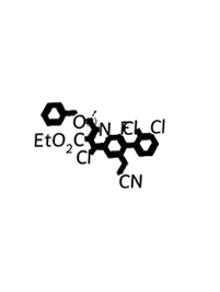 CCOC(=O)c1c([C@@H](C)OCc2ccccc2)nc2c(F)c(-c3cccc(Cl)c3Cl)c(CCC#N)cc2c1Cl